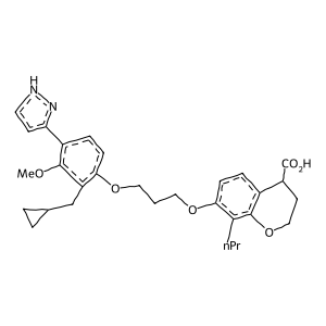 CCCc1c(OCCCOc2ccc(-c3cc[nH]n3)c(OC)c2CC2CC2)ccc2c1OCCC2C(=O)O